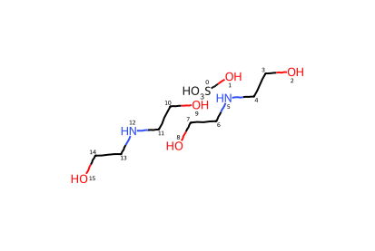 O=S(=O)(O)O.OCCNCCO.OCCNCCO